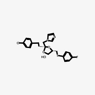 Cl.Fc1ccc(SC[C@@H]2CO[C@@](CCc3ccc(Cl)cc3)(Cn3ccnc3)O2)cc1